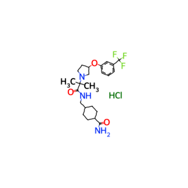 CC(C)(C(=O)NCC1CCC(C(N)=O)CC1)N1CCC(Oc2cccc(C(F)(F)F)c2)C1.Cl